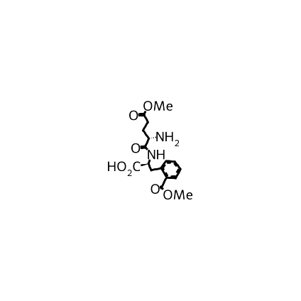 COC(=O)CC[C@H](N)C(=O)N[C@@H](Cc1ccccc1C(=O)OC)C(=O)O